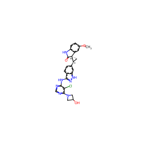 COc1ccc2c(c1)[C@]1(C[C@H]1c1ccc3c(Nc4ncnc(N5CC(O)C5)c4Cl)n[nH]c3c1)C(=O)N2